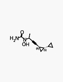 CC(C#C[C@@H]1C[C@H]1C1CC1)N(O)C(N)=O